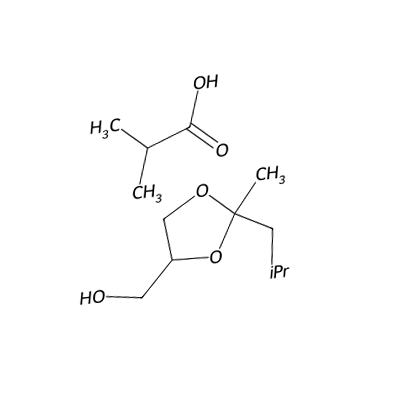 CC(C)C(=O)O.CC(C)CC1(C)OCC(CO)O1